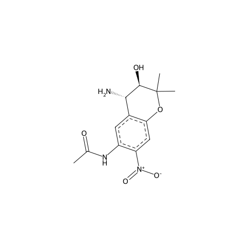 CC(=O)Nc1cc2c(cc1[N+](=O)[O-])OC(C)(C)[C@H](O)[C@H]2N